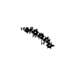 Cc1cccc(-c2nccc(Nc3ccnc(Nc4cccc(NC(=O)C5CCNC5)c4)n3)n2)n1